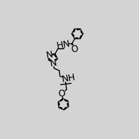 CC(C)(COc1ccccc1)NCCCn1cnc(CCNC(=O)c2ccccc2)c1